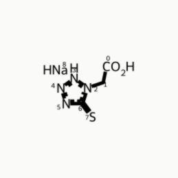 O=C(O)Cn1[nH]nnc1=S.[NaH]